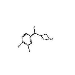 Fc1ccc(C(F)C2CNC2)cc1F